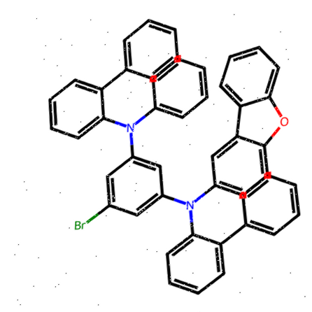 Brc1cc(N(c2ccccc2)c2ccccc2-c2ccccc2)cc(N(c2ccc3oc4ccccc4c3c2)c2ccccc2-c2ccccc2)c1